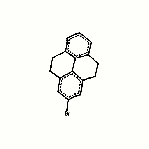 Brc1cc2c3c(c1)CCc1cccc(c1-3)CC2